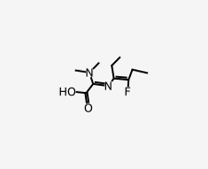 CC/C(F)=C(CC)/N=C(/C(=O)O)N(C)C